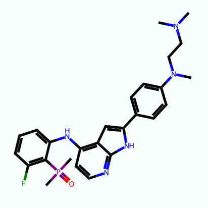 CN(C)CCN(C)c1ccc(-c2cc3c(Nc4cccc(F)c4P(C)(C)=O)ccnc3[nH]2)cc1